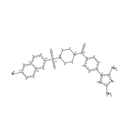 Nc1nc(N)n(-c2ccc(C(=O)N3CCN(S(=O)(=O)c4ccc5cc(Br)ccc5c4)CC3)cc2)n1